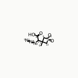 CC1(C(N=[N+]=[N-])C(=O)O)CS(=O)(=O)C1